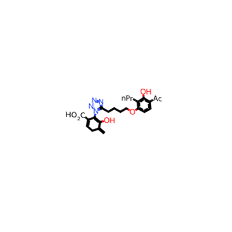 C=C1CC=C(C(=O)O)C(n2nnnc2CCCCOc2ccc(C(C)=O)c(O)c2CCC)=C1O